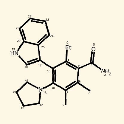 CCc1c(C(N)=O)c(C)c(C)c(N2CCCC2)c1-c1c[nH]c2ccccc12